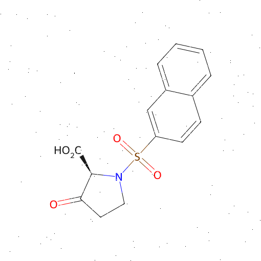 O=C(O)[C@@H]1C(=O)CCN1S(=O)(=O)c1ccc2ccccc2c1